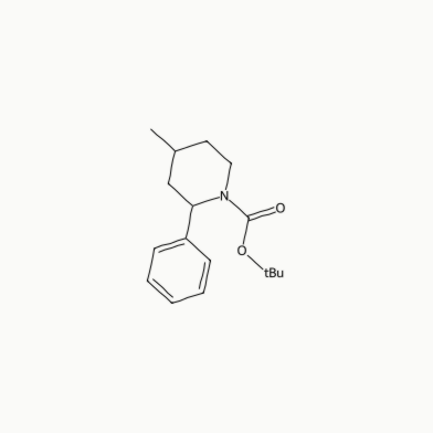 CC1CCN(C(=O)OC(C)(C)C)C(c2ccccc2)C1